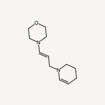 C1=CN(CC=CN2CCOCC2)CCC1